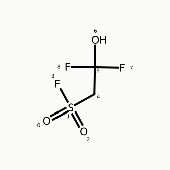 O=S(=O)(F)CC(O)(F)F